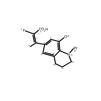 C/C(=C(\F)C(=O)O)c1cc(Cl)c2c(c1)CCCN2C(C)C